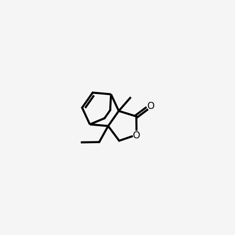 CCC12COC(=O)C1(C)C1C=CC2CC1